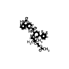 CC(=O)OCCOC(C)(C)c1cnc2n1C[C@H](c1cccc(F)c1F)CC[C@H]2NC(=O)N1CCC2(CC1)OC(=O)Nc1ncccc12